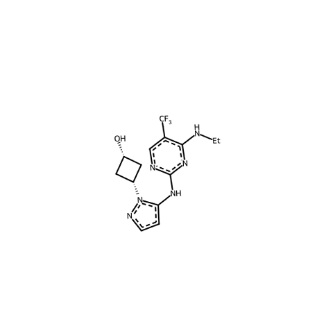 CCNc1nc(Nc2ccnn2[C@H]2C[C@@H](O)C2)ncc1C(F)(F)F